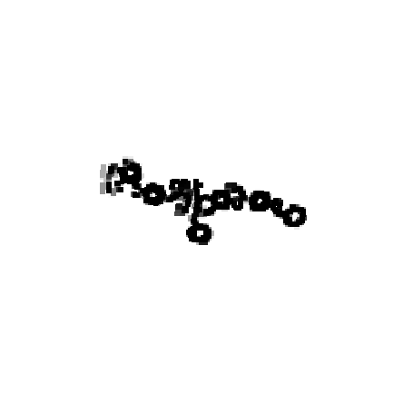 Cc1nccc(Oc2ccc(C[C@H](NC(=O)[C@@H]3Cc4cc5c(cc4CN3Cc3ccccc3)O[C@@H](c3ccc(OCC4CCCCC4)cc3)CO5)C(=O)O)cc2)c1C